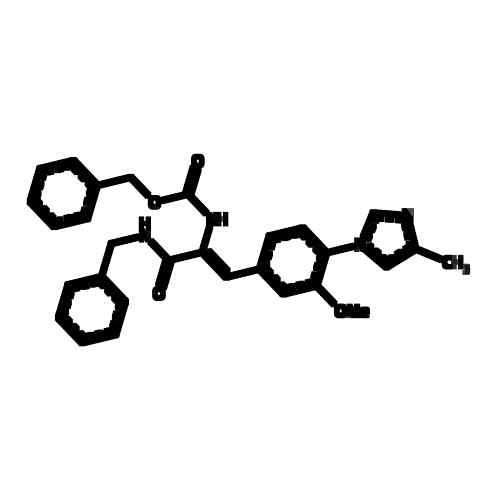 COc1cc(C=C(NC(=O)OCc2ccccc2)C(=O)NCc2ccccc2)ccc1-n1cnc(C)c1